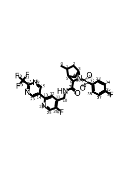 CC1CC2CC1C(C(=O)NCc1cc(-c3cnc(C(F)(F)F)nc3)ncc1F)N2S(=O)(=O)c1ccc(F)cc1